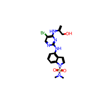 C=C(CO)Nc1nc(Nc2cccc3c2ccn3S(=O)(=O)N(C)C)ncc1Br